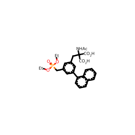 CCOP(=O)(Cc1cc(CC(NC(C)=O)(C(=O)O)C(=O)O)cc(-c2cccc3ccccc23)c1)OCC